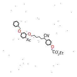 CCOC(=O)COc1ccc(C(C#N)CCCCCOc2cc(OCc3ccccc3)ccc2C(C)=O)cc1